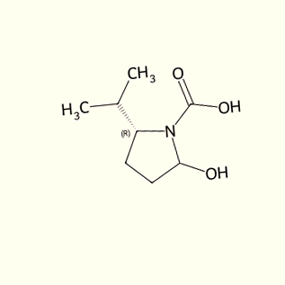 CC(C)[C@H]1CCC(O)N1C(=O)O